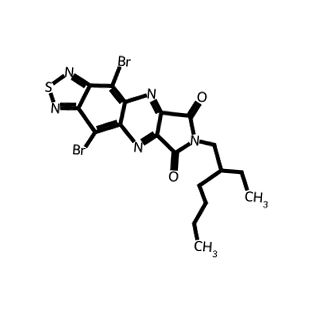 CCCCC(CC)CN1C(=O)c2nc3c(Br)c4nsnc4c(Br)c3nc2C1=O